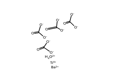 O=C([O-])[O-].O=C([O-])[O-].O=C([O-])[O-].O=C([O-])[O-].[Ba+2].[OH4+2].[Ti+4]